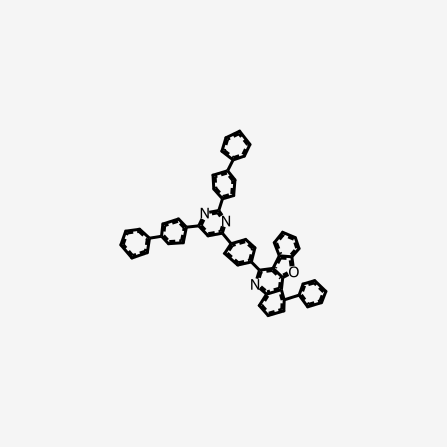 c1ccc(-c2ccc(-c3cc(-c4ccc(-c5nc6cccc(-c7ccccc7)c6c6oc7ccccc7c56)cc4)nc(-c4ccc(-c5ccccc5)cc4)n3)cc2)cc1